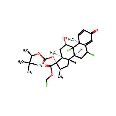 CC(OC(=O)O[C@@]1(C(=O)OCF)[C@H](C)C[C@H]2[C@@H]3C[C@H](F)C4=CC(=O)C=C[C@]4(C)C3(F)[C@@H](O)C[C@@]21C)C(C)(C)C